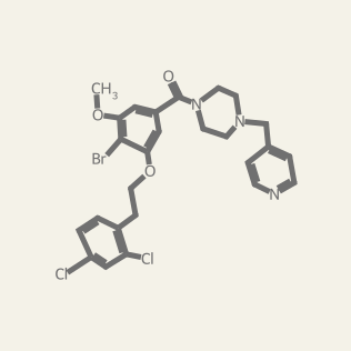 COc1cc(C(=O)N2CCN(Cc3ccncc3)CC2)cc(OCCc2ccc(Cl)cc2Cl)c1Br